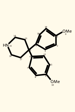 COc1ccc(C2(c3ccc(OC)cc3)CCNCC2)cc1